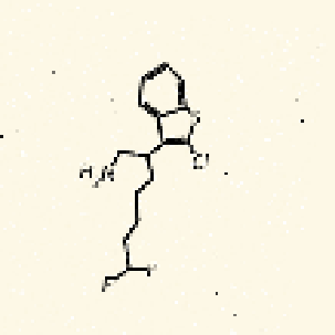 NCC(CCCCC(F)F)c1c(Cl)sc2ccccc12